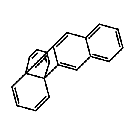 C1=CC23C=CC=CC2(C=C1)c1cc2ccccc2cc1C=C3